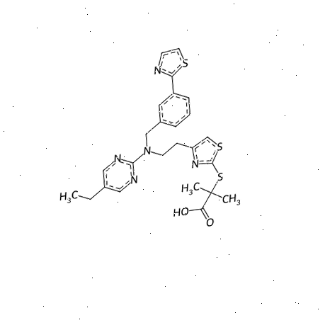 CCc1cnc(N(CCc2csc(SC(C)(C)C(=O)O)n2)Cc2cccc(-c3nccs3)c2)nc1